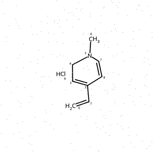 C=CC1=CCN(C)C=C1.Cl